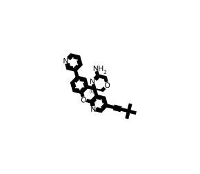 CC(C)(C)C#Cc1cnc2c(c1)[C@]1(COCC(N)=N1)c1cc(-c3cccnc3)ccc1O2